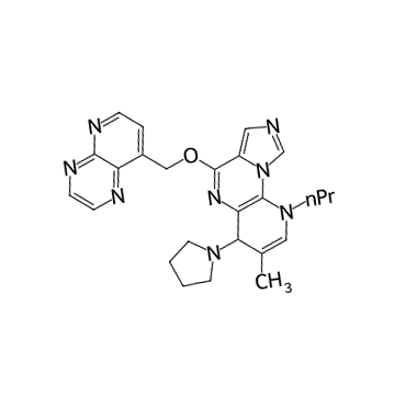 CCCN1C=C(C)C(N2CCCC2)c2nc(OCc3ccnc4nccnc34)c3cncn3c21